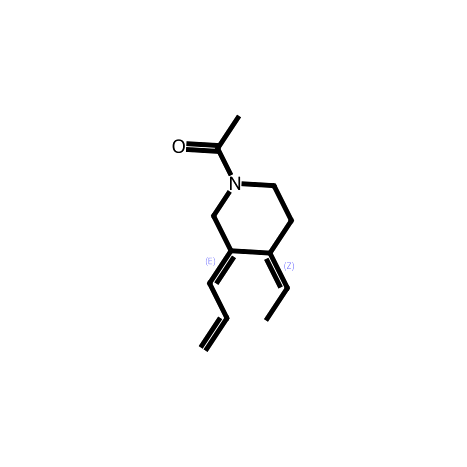 C=C/C=C1/CN(C(C)=O)CC/C1=C/C